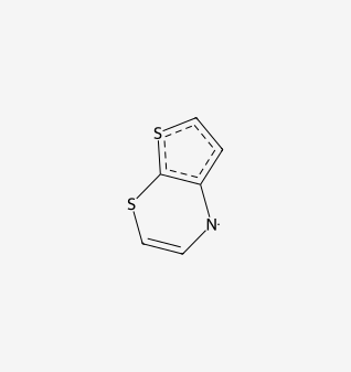 C1=CSc2sccc2[N]1